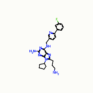 NCCCc1nc2c(NCc3ccc(-c4cccc(F)c4)nc3)nc(N)nc2n1C1CCCC1